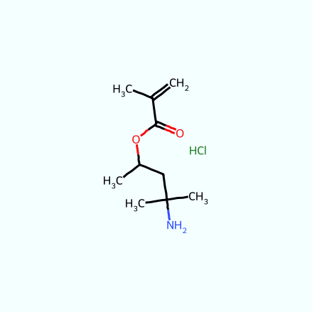 C=C(C)C(=O)OC(C)CC(C)(C)N.Cl